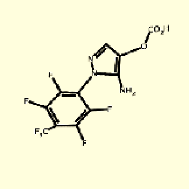 Nc1c(OC(=O)O)cnn1-c1c(F)c(F)c(C(F)(F)F)c(F)c1F